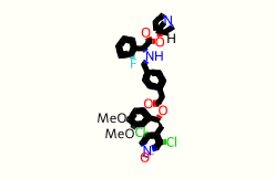 COc1ccc([C@H](Cc2c(Cl)c[n+]([O-])cc2Cl)OC(=O)Cc2ccc(CNC(C(=O)O[C@H]3CN4CCC3CC4)c3ccccc3F)cc2)cc1OC